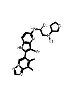 CC[C@@H](CN(CC)C1CCOC1)Nc1ccc2[nH]c(-c3cn4ncnc4c(C)c3C)c(C(C)C)c2n1